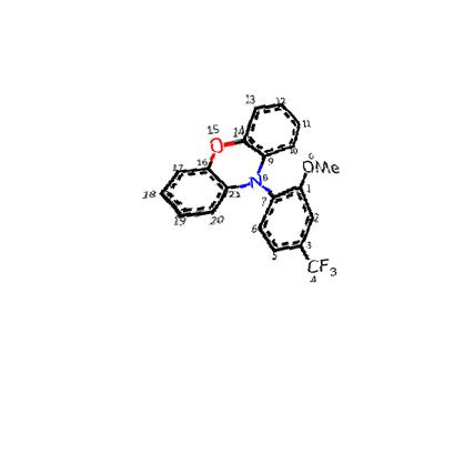 COc1cc(C(F)(F)F)ccc1N1c2ccccc2Oc2ccccc21